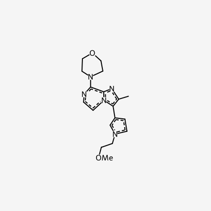 COCCn1ccc(-c2c(C)nc3c(N4CCOCC4)nccn23)c1